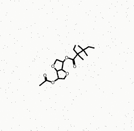 CCC(C)(C)C(C)(CC)C(=O)OC1COC2C(OC(C)=O)COC12